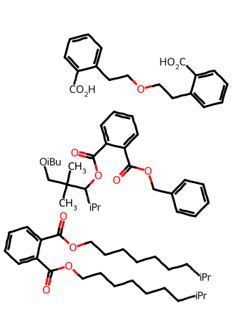 CC(C)CCCCCCCOC(=O)c1ccccc1C(=O)OCCCCCCCC(C)C.CC(C)COCC(C)(C)C(OC(=O)c1ccccc1C(=O)OCc1ccccc1)C(C)C.O=C(O)c1ccccc1CCOCCc1ccccc1C(=O)O